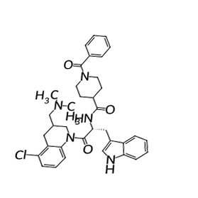 CN(C)CC1Cc2c(Cl)cccc2N(C(=O)[C@@H](Cc2c[nH]c3ccccc23)NC(=O)C2CCN(C(=O)c3ccccc3)CC2)C1